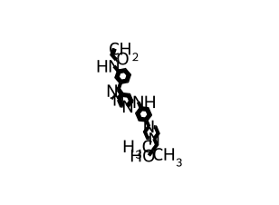 C=CC(=O)Nc1cccc(-c2ncn3cnc(Nc4ccc(N5CCN(CC(C)(C)O)CC5)cc4)cc23)c1